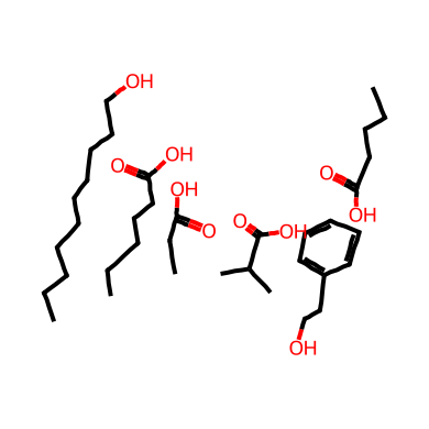 CC(C)C(=O)O.CCC(=O)O.CCCCC(=O)O.CCCCCC(=O)O.CCCCCCCCCCO.OCCc1ccccc1